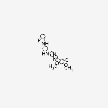 COc1cc(OC)c(-c2cn3ccc(N[C@H]4CC[C@H](NCc5ccccc5F)CC4)cc3n2)cc1Cl